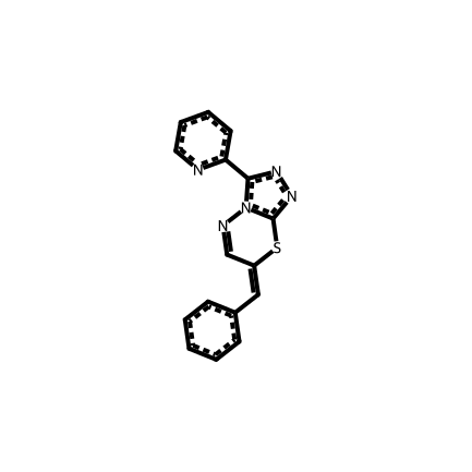 C1=Nn2c(nnc2-c2ccccn2)SC1=Cc1ccccc1